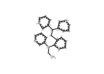 CCN(c1cccnc1)c1ncccc1CC(c1cccnc1)c1cccnc1